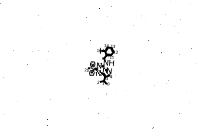 CC(C)c1cnn2c(NCc3ccccc3I)nc(S(C)(=O)=O)nc12